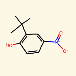 CC(C)(C)c1cc([N+](=O)[O-])ccc1O